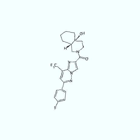 O=C(c1cn2nc(-c3ccc(F)cc3)cc(C(F)(F)F)c2n1)N1CC[C@@]2(O)CCCC[C@H]2C1